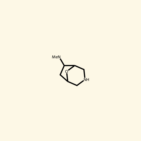 CNC1CC2CNCC1O2